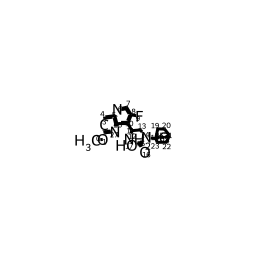 COc1ccc2ncc(F)c(C(N)CN(C(=O)O)C34CCC(CC3)OC4)c2n1